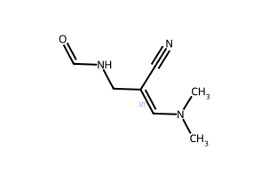 CN(C)/C=C(\C#N)CNC=O